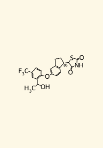 CC(O)c1cc(C(F)(F)F)ccc1Oc1ccc2c(c1)CC[C@H]2C1SC(=O)NC1=O